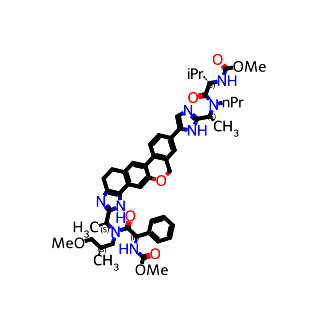 CCCN(C(=O)[C@@H](NC(=O)OC)C(C)C)[C@@H](C)c1ncc(-c2ccc3c(c2)COc2cc4c(cc2-3)CCc2nc([C@H](C)N(C[C@H](C)COC)C(=O)[C@H](NC(=O)OC)c3ccccc3)[nH]c2-4)[nH]1